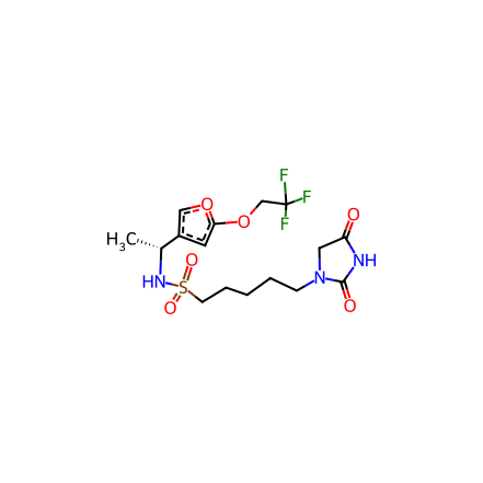 C[C@@H](NS(=O)(=O)CCCCCN1CC(=O)NC1=O)c1coc(OCC(F)(F)F)c1